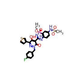 COP1(=O)N=C(c2c(O)c(-c3ccsc3)nn(Cc3ccc(F)cc3)c2=O)Nc2ccc(NS(C)(=O)=O)cc21